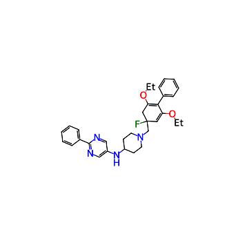 CCOC1=CC(F)(CN2CCC(Nc3cnc(-c4ccccc4)nc3)CC2)CC(OCC)=C1c1ccccc1